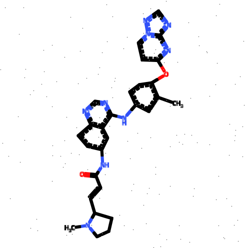 Cc1cc(Nc2ncnc3ccc(NC(=O)C=CC4CCCN4C)cc23)ccc1Oc1ccn2ncnc2n1